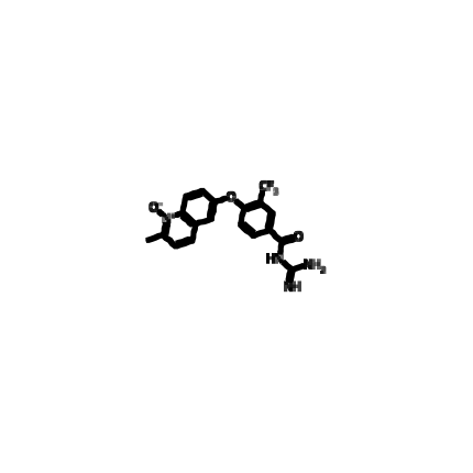 Cc1ccc2cc(Oc3ccc(C(=O)NC(=N)N)cc3C(F)(F)F)ccc2[n+]1[O-]